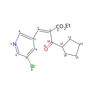 CCOC(=O)C(=Cc1cncc(Br)c1)C(=O)C1CCCC1